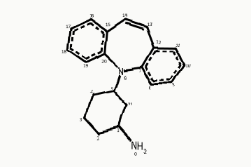 NC1CCCC(N2c3ccccc3C=Cc3ccccc32)C1